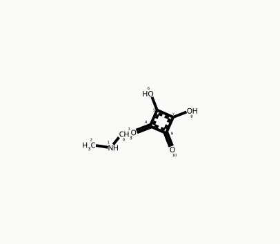 CNC.O=c1c(O)c(O)c1=O